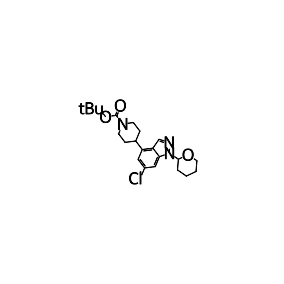 CC(C)(C)OC(=O)N1CCC(c2cc(Cl)cc3c2cnn3C2CCCCO2)CC1